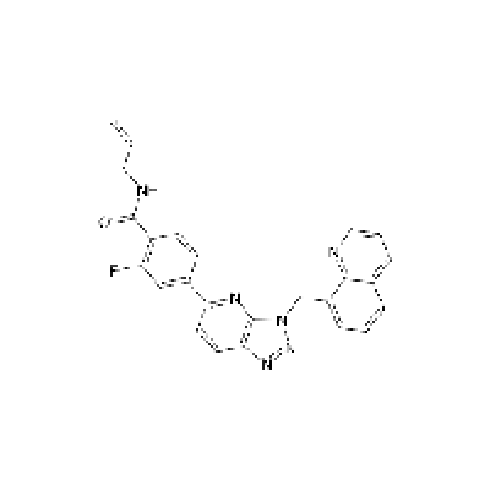 C=CCNC(=O)c1ccc(-c2ccc3nnn(Cc4cccc5cccnc45)c3n2)cc1F